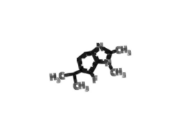 Cc1nc2ccc(C(C)C)c(F)c2n1C